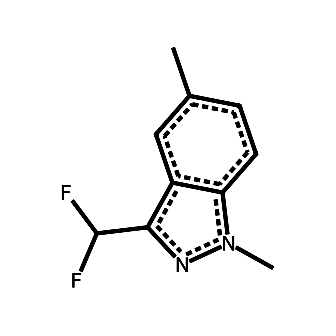 Cc1ccc2c(c1)c(C(F)F)nn2C